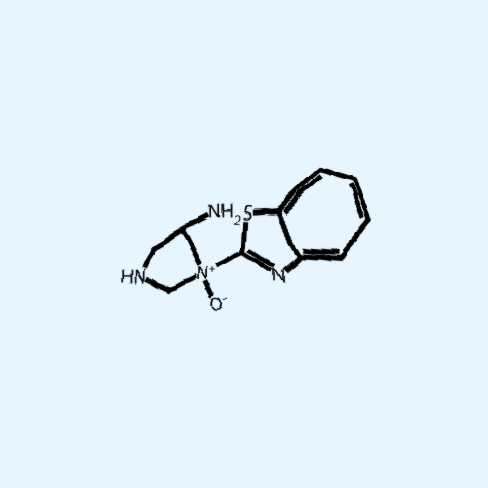 NC1CNC[N+]1([O-])c1nc2ccccc2s1